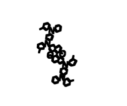 COc1ccc2cc(N(c3ccc(N(c4ccccc4)c4cccc(C)c4)cc3)c3cccc(C)c3)ccc2c1-c1c(OC)ccc2cc(N(c3ccc(N(c4ccccc4)c4cccc(C)c4)cc3)c3cccc(C)c3)ccc12